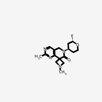 Cc1ncc2c(n1)C1(CN(C)C1)C(=O)N([C@@H]1CCO[C@@H](F)C1)C2